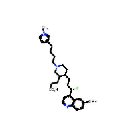 COc1ccc2nccc([C@@H](F)CCC3CCN(CCCCc4ccn(C)c4)CC3CCC(=O)O)c2c1